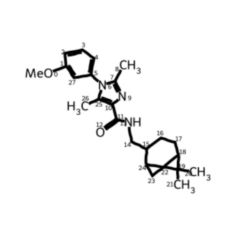 COc1cccc(-n2c(C)nc(C(=O)NCC3CCC4C(C)(C)C45CC35)c2C)c1